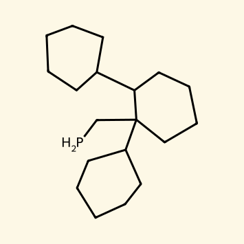 PCC1(C2CCCCC2)CCCCC1C1CCCCC1